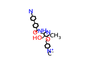 [C-]#[N+]c1ccc(COc2c(C)ncc(CNC(=O)c3ccc(-c4ccc(C#N)cc4)cc3)c2CO)cc1